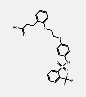 O=C(O)CCc1ccccc1OCCOc1ccc(NS(=O)(=O)c2ccccc2C(F)(F)F)cc1